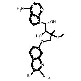 CSC(C)(COc1ccc2cc(Br)c(N)nc2c1)[C@@H](O)[C@@H](O)n1ccc2c(N)ncnc21